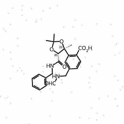 CC1(C)O[C@@H](C(=O)NCc2ccccc2)[C@](C)(c2cc(CNC=O)ccc2C(=O)O)O1